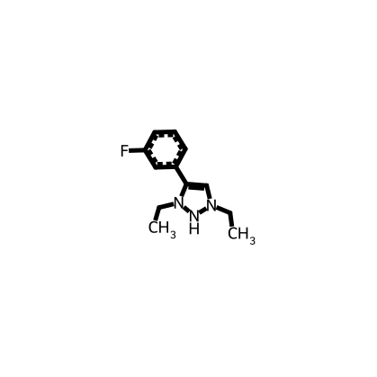 CCN1C=C(c2cccc(F)c2)N(CC)N1